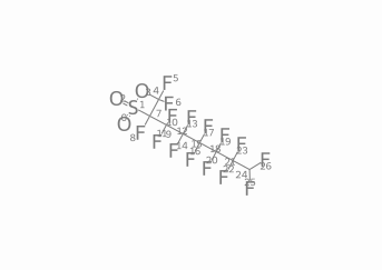 O=S1(=O)OC(F)(F)C1(F)C(F)(F)C(F)(F)C(F)(F)C(F)(F)C(F)(F)C(F)F